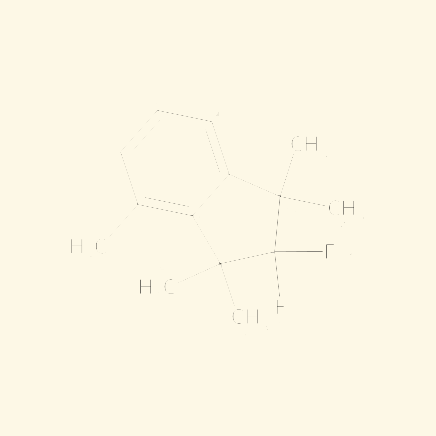 Cc1cccc2c1C(C)(C)C(F)(F)C2(C)C